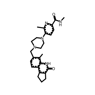 CNC(=O)c1ccc(N2CCN(Cc3ccc4c5c(c(=O)[nH]c4c3C)CCC5)CC2)c(C)n1